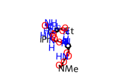 CCNC(=O)OCc1ccc(NC(=O)[C@H](CCCNC(N)=O)NC(=O)[C@@H](NC(=O)CCOCCn2nnc3c2CC2C(CC3)C2COC(=O)NCCOCCC(=O)NC)C(C)C)cc1